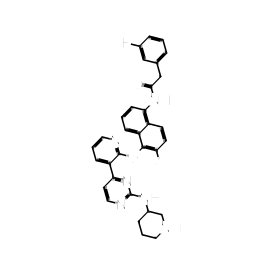 Cc1ccc2c(NC(=O)Cc3cccc(F)c3)cccc2c1Oc1ncccc1-c1ccnc(NC2CCCNC2)n1